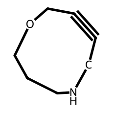 C1#CCOCCCNC1